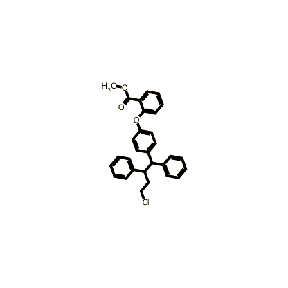 COC(=O)c1ccccc1Oc1ccc(C(c2ccccc2)C(CCCl)c2ccccc2)cc1